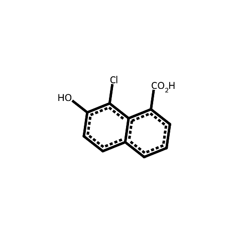 O=C(O)c1cccc2ccc(O)c(Cl)c12